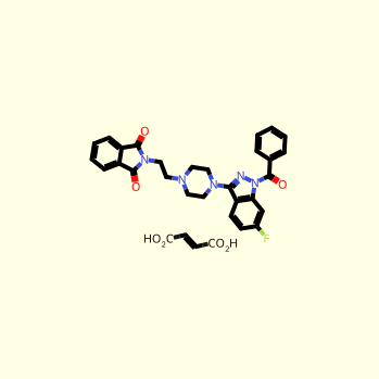 O=C(O)C=CC(=O)O.O=C1c2ccccc2C(=O)N1CCN1CCN(c2nn(C(=O)c3ccccc3)c3cc(F)ccc23)CC1